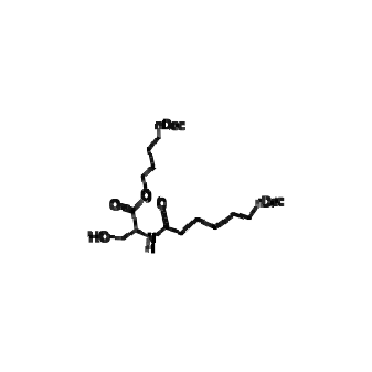 CCCCCCCCCCCCCCCC(=O)NC(CO)C(=O)OCCCCCCCCCCCCCC